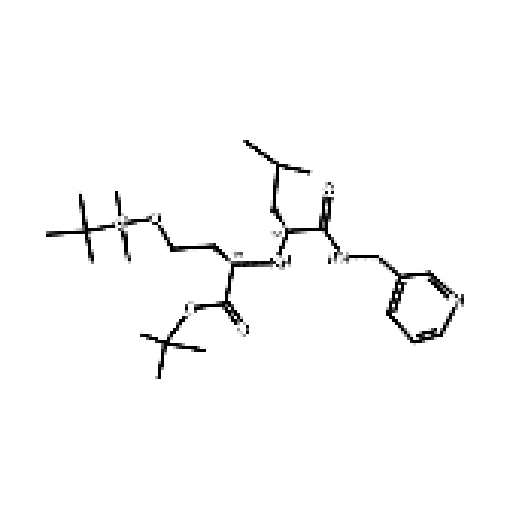 CC(C)C[C@H](N[C@H](CCO[Si](C)(C)C(C)(C)C)C(=O)OC(C)(C)C)C(=O)NCc1cccnc1